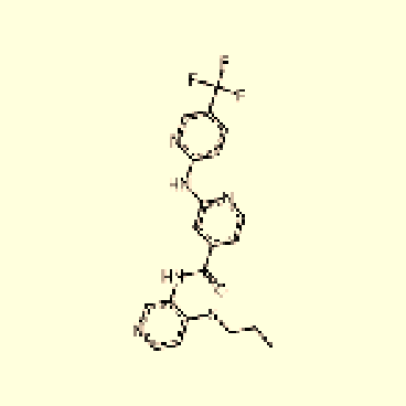 CCCSc1ccncc1NC(=O)c1ccnc(Nc2ccc(C(F)(F)F)cn2)c1